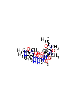 C=C(C(=O)N(C)[C@@H](CC(C)(C)O)C(=O)NC(=O)N(C)C(=O)NC(=O)NC(C)C(=O)N(C)[C@@H](CC(C)C)C(=O)NC)N(C)C(=O)CCC